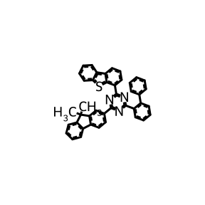 CC1(C)c2ccccc2-c2ccc(-c3nc(-c4ccccc4-c4ccccc4)nc(-c4cccc5c4sc4ccccc45)n3)cc21